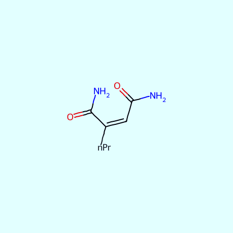 CCCC(=CC(N)=O)C(N)=O